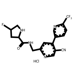 Cl.N#Cc1cnc(CNC(=O)C2CC(F)CN2)cc1-c1ccc(C(F)(F)F)nc1